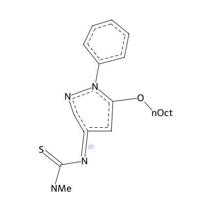 CCCCCCCCOc1c/c(=N/C(=S)NC)cnn1-c1ccccc1